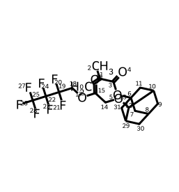 C=C(C)C(=O)OC12CC3CC(C1)C(OCC(=O)OCC(F)(F)C(F)(F)C(F)(F)F)C(C3)C2